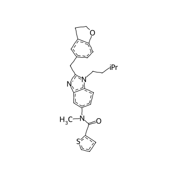 CC(C)CCn1c(Cc2ccc3c(c2)CCO3)nc2cc(N(C)C(=O)c3cccs3)ccc21